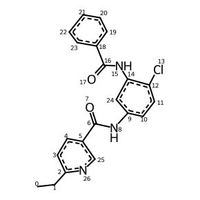 CCc1ccc(C(=O)Nc2ccc(Cl)c(NC(=O)c3ccccc3)c2)cn1